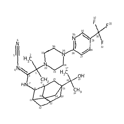 CC(C)(/C(=N\C#N)NC1C2CC3CC1CC(C(C)(C)O)(C3)C2)N1CCN(c2ccc(C(F)(F)F)cn2)CC1